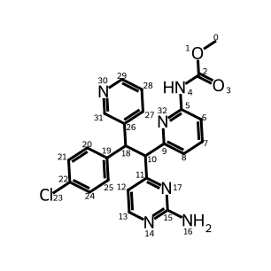 COC(=O)Nc1cccc(C(c2ccnc(N)n2)C(c2ccc(Cl)cc2)c2cccnc2)n1